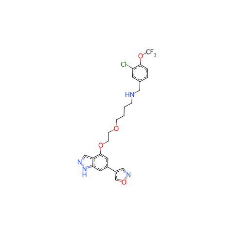 FC(F)(F)Oc1ccc(CNCCCCOCCOc2cc(-c3cnoc3)cc3[nH]ncc23)cc1Cl